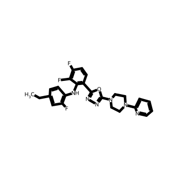 CCc1ccc(Nc2c(-c3nnc(N4CCN(c5ccccn5)CC4)o3)ccc(F)c2F)c(F)c1